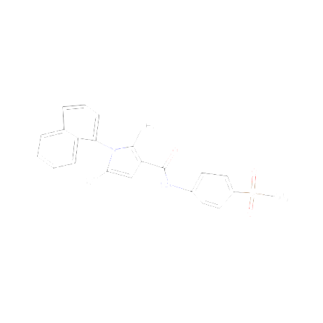 Cc1cc(C(=O)Nc2ccc(S(C)(=O)=O)cc2)c(C)n1-c1cccc2ccccc12